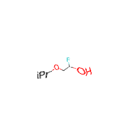 CC(C)OCC(O)F